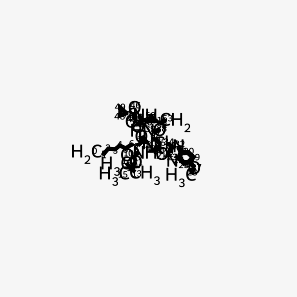 C=CCCCCC[C@H](NC(=O)OC(C)(C)C)C(=O)N1C[C@H](Oc2nc3cc(OC)ccc3nc2Cl)C[C@H]1C(=O)N[C@]1(C(=O)NS(=O)(=O)C2CC2)C[C@H]1C=C